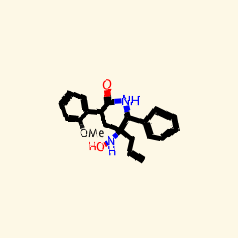 C=CCC1(NO)CC(c2ccccc2OC)C(=O)NC1c1ccccc1